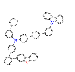 c1ccc(-c2cccc(N(c3ccc(-c4ccc(-c5cccc(-n6c7ccccc7c7ccccc76)c5)cc4)cc3)c3ccc(-c4ccccc4-c4ccc5c(c4)oc4ccccc45)cc3)c2)cc1